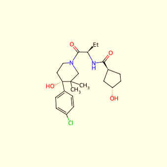 CC[C@@H](NC(=O)[C@H]1CC[C@H](O)C1)C(=O)N1CC[C@](O)(c2ccc(Cl)cc2)C(C)(C)C1